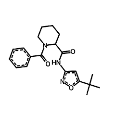 CC(C)(C)c1cc(NC(=O)C2CCCCN2C(=O)c2ccccc2)no1